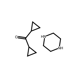 C1CNCCN1.O=C(C1CC1)C1CC1